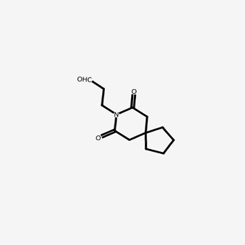 O=CCCN1C(=O)CC2(CCCC2)CC1=O